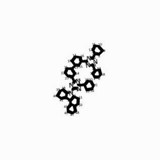 c1ccc(-c2nc(-c3ccccc3)nc(-c3cccc(-c4cccc(-c5nc(-c6ccccc6)nc(-n6c7ccccc7c7c8ccccc8ccc76)n5)c4)c3)n2)cc1